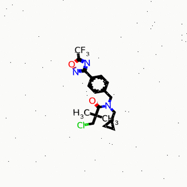 CC(C)(CCl)C(=O)N(Cc1ccc(-c2noc(C(F)(F)F)n2)cc1)CC1CC1